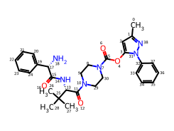 Cc1cc(OC(=O)N2CCN(C(=O)[C@@H](NC(=O)[C@@H](N)c3ccccc3)C(C)(C)C)CC2)n(-c2ccccc2)n1